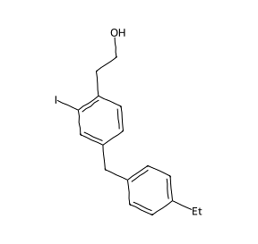 CCc1ccc(Cc2ccc(CCO)c(I)c2)cc1